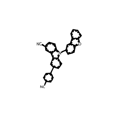 N#Cc1ccc(-c2ccc3c(c2)c2cc(C#N)ccc2n3-c2ccc3oc4ccccc4c3c2)cc1